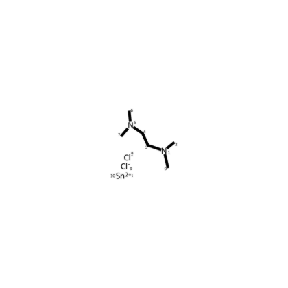 CN(C)CCN(C)C.[Cl-].[Cl-].[Sn+2]